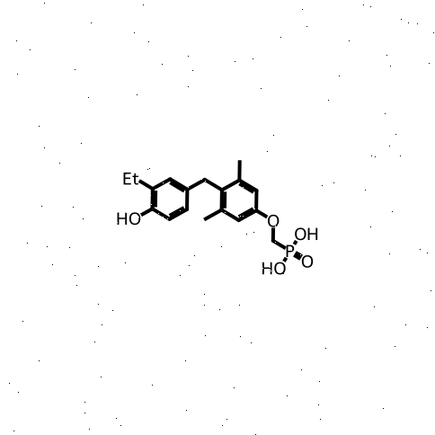 CCc1cc(Cc2c(C)cc(OCP(=O)(O)O)cc2C)ccc1O